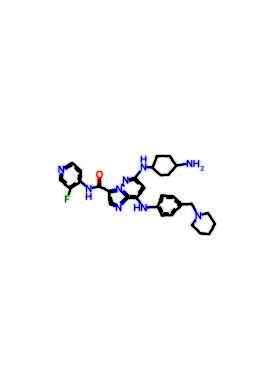 NC1CCC(Nc2cc(Nc3ccc(CN4CCCCC4)cc3)c3ncc(C(=O)Nc4ccncc4F)n3n2)CC1